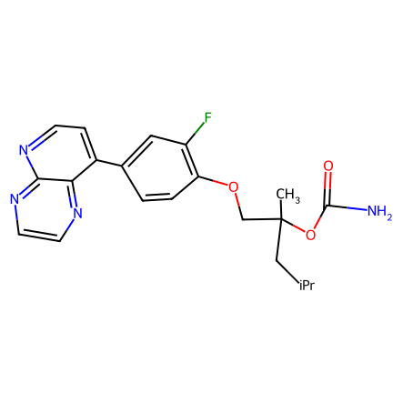 CC(C)CC(C)(COc1ccc(-c2ccnc3nccnc23)cc1F)OC(N)=O